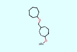 [CH2]CCCOC1CCCC(COC2CC[CH]CCC2)CC1